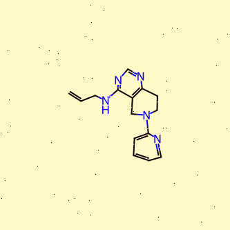 C=CCNc1ncnc2c1CN(c1ccccn1)CC2